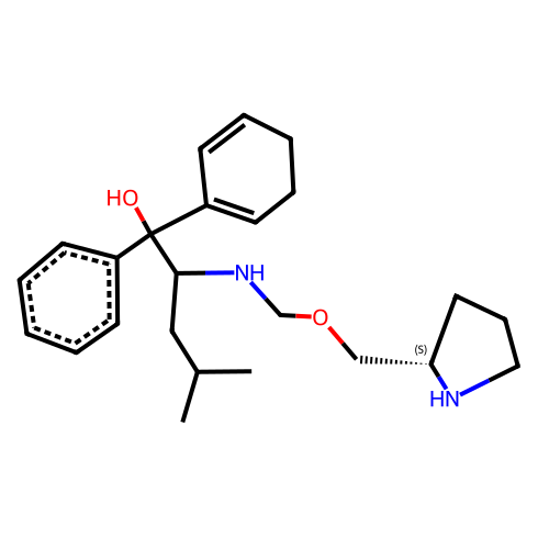 CC(C)CC(NCOC[C@@H]1CCCN1)C(O)(C1=CCCC=C1)c1ccccc1